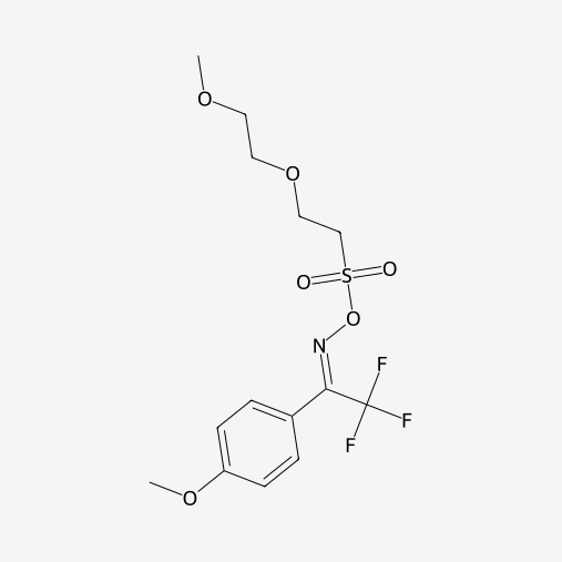 COCCOCCS(=O)(=O)ON=C(c1ccc(OC)cc1)C(F)(F)F